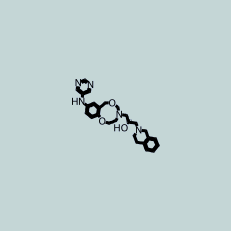 O[C@@H](CN1CCOc2ccc(Nc3cncnc3)cc2COC1)CN1CCc2ccccc2C1